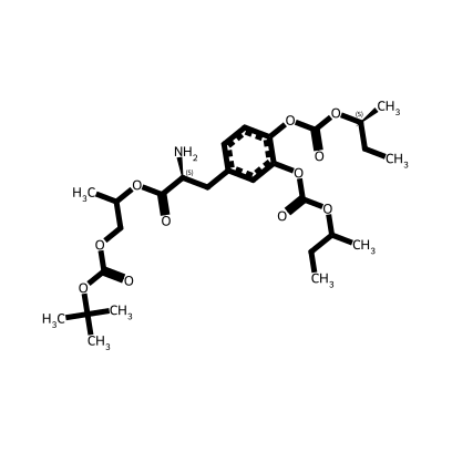 CCC(C)OC(=O)Oc1cc(C[C@H](N)C(=O)OC(C)COC(=O)OC(C)(C)C)ccc1OC(=O)O[C@@H](C)CC